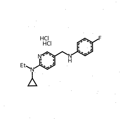 CCN(c1ccc(CNc2ccc(F)cc2)cn1)C1CC1.Cl.Cl